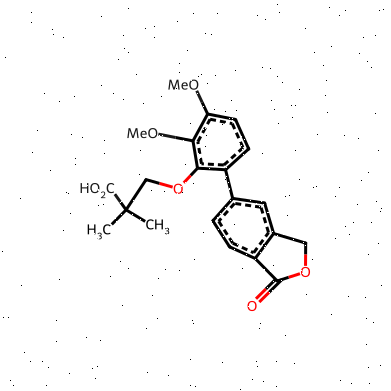 COc1ccc(-c2ccc3c(c2)COC3=O)c(OCC(C)(C)C(=O)O)c1OC